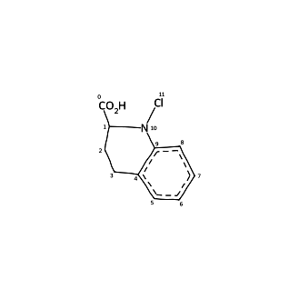 O=C(O)C1CCc2ccccc2N1Cl